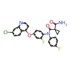 NC(=O)C1(C(=O)N(c2ccc(F)cc2)c2ccc(Oc3ccnc4cc(Cl)ccc34)cc2F)CC1